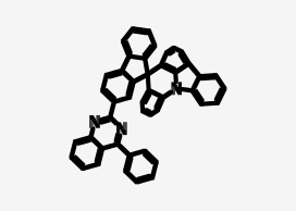 c1ccc(-c2nc(-c3ccc4c(c3)C3(c5ccccc5-4)c4ccccc4-n4c5ccccc5c5cccc3c54)nc3ccccc23)cc1